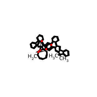 C=C1/C=C\C=C/CC2(c3ccccc3-c3ccccc32)c2c1cccc2N(c1ccc2c(c1)c1ccccc1c1cc3c(cc21)C(C)(C)c1ccccc1-3)c1ccccc1-c1ccccc1